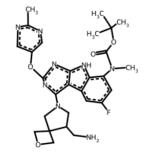 Cc1ncc(Oc2nc(N3CC(CN)C4(COC4)C3)c3c(n2)[nH]c2c(N(C)C(=O)OC(C)(C)C)cc(F)cc23)cn1